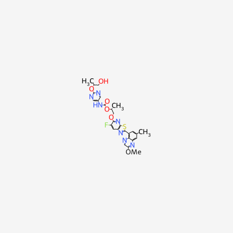 COc1cnc2c(-c3nc4cc(F)c(OC[C@@H](C)OC(=O)Nc5cnc(O[C@@H](C)CO)nc5)nc4s3)cc(C)cc2n1